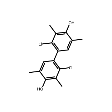 Cc1cc(-c2cc(C)c(O)c(C)c2Cl)c(Cl)c(C)c1O